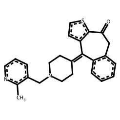 Cc1ncccc1CN1CCC(=C2c3ccccc3CC(=O)c3sccc32)CC1